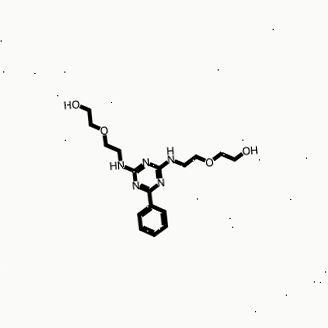 OCCOCCNc1nc(NCCOCCO)nc(-c2ccccc2)n1